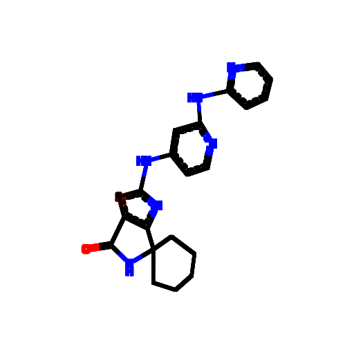 O=C1NC2(CCCCC2)c2nc(Nc3ccnc(Nc4ccccn4)c3)sc21